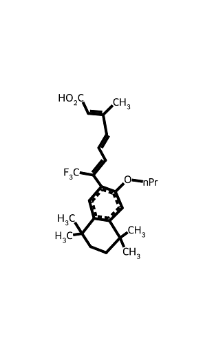 CCCOc1cc2c(cc1C(=CC=CC(C)=CC(=O)O)C(F)(F)F)C(C)(C)CCC2(C)C